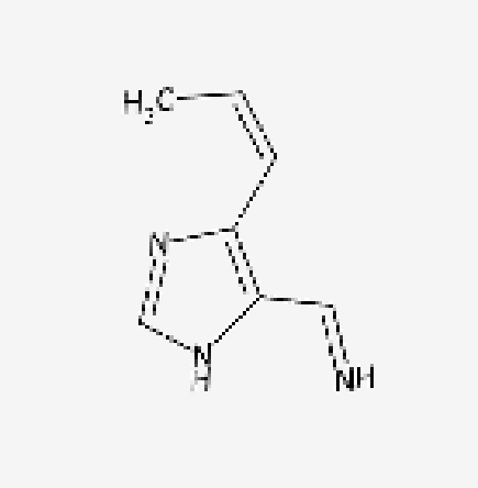 C/C=C\c1nc[nH]c1C=N